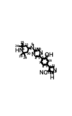 CN(c1ncc(-c2ccc(-c3cn[nH]c3C#N)cc2O)nn1)C1CC(C)(C)NC(C)(C)C1